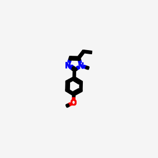 CCc1cnc(-c2ccc(OC)cc2)n1C